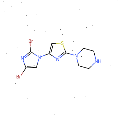 Brc1cn(-c2csc(N3CCNCC3)n2)c(Br)n1